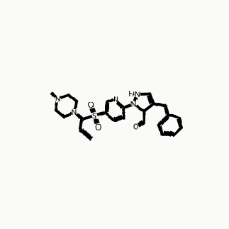 C=CC(N1CCN(C)CC1)S(=O)(=O)c1ccc(N2NC=C(Cc3ccccc3)C2C=O)nc1